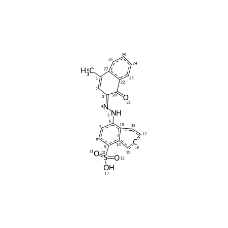 CC1=C/C(=N/Nc2ccc(S(=O)(=O)O)c3ccccc23)C(=O)c2ccccc21